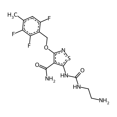 Cc1cc(F)c(COc2nsc(NC(=O)NCCN)c2C(N)=O)c(F)c1F